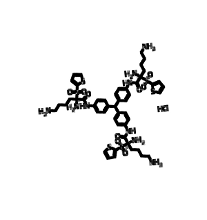 Cl.NCCCC[C@@](N)(C(=O)Nc1ccc(C(c2ccc(NC(=O)[C@](N)(CCCCN)S(=O)(=O)c3cccs3)cc2)c2ccc(NC(=O)[C@](N)(CCCCN)S(=O)(=O)c3cccs3)cc2)cc1)S(=O)(=O)c1cccs1